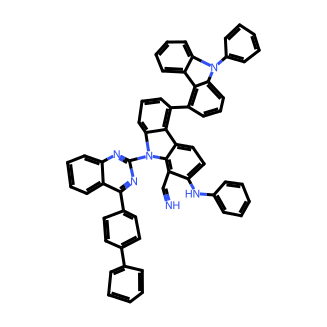 N=Cc1c(Nc2ccccc2)ccc2c3c(-c4cccc5c4c4ccccc4n5-c4ccccc4)cccc3n(-c3nc(-c4ccc(-c5ccccc5)cc4)c4ccccc4n3)c12